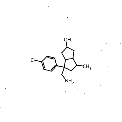 CC1CC(CN)(c2ccc(Cl)cc2)C2CC(O)CC12